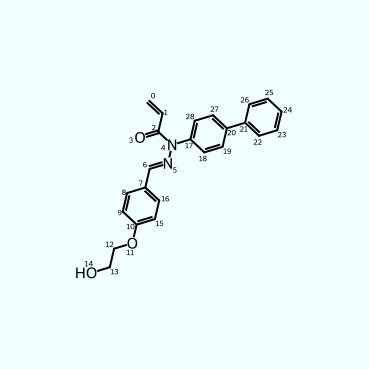 C=CC(=O)N(/N=C/c1ccc(OCCO)cc1)c1ccc(-c2ccccc2)cc1